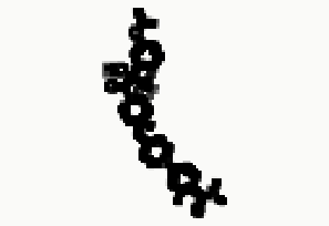 Cc1cc(N2CCC(CC3(C)CCN(C(=O)[C@](O)(c4cccc(OC(C)C)c4)C(F)(F)F)CC3)CC2)ccc1C(=O)N(C)C